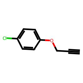 C#CCOc1[c]cc(Cl)cc1